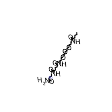 CCCCC(=O)NCCCOCCOCCOCCCNC(=O)CCCC(=O)NC/C=C/C(N)=O